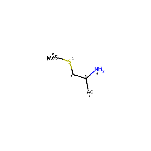 CSSCC(N)C(C)=O